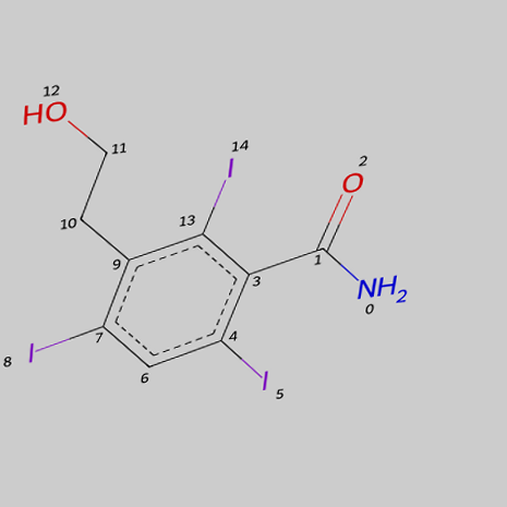 NC(=O)c1c(I)cc(I)c(CCO)c1I